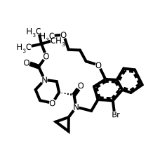 COCCCOc1cc(CN(C(=O)[C@H]2CN(C(=O)OC(C)(C)C)CCO2)C2CC2)c(Br)c2ccccc12